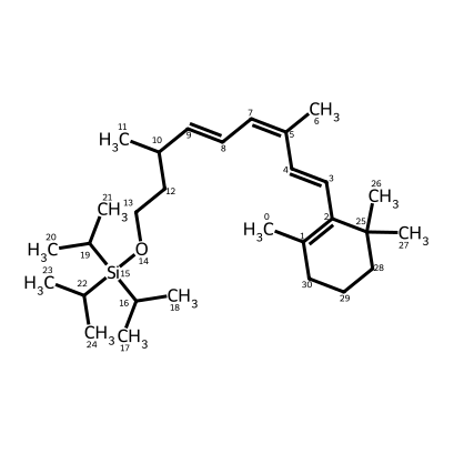 CC1=C(/C=C/C(C)=C\C=C\C(C)CCO[Si](C(C)C)(C(C)C)C(C)C)C(C)(C)CCC1